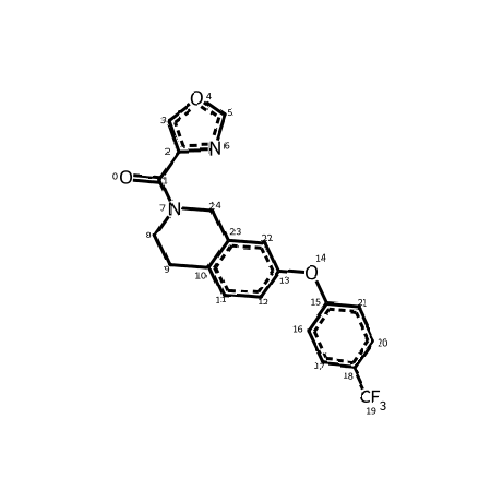 O=C(c1cocn1)N1CCc2ccc(Oc3ccc(C(F)(F)F)cc3)cc2C1